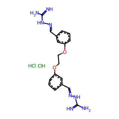 Cl.Cl.N=C(N)N/N=C/c1cccc(OCCOc2cccc(/C=N/NC(=N)N)c2)c1